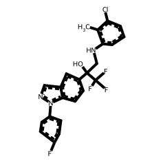 Cc1c(Cl)cccc1NCC(O)(c1ccc2c(cnn2-c2ccc(F)cc2)c1)C(F)(F)F